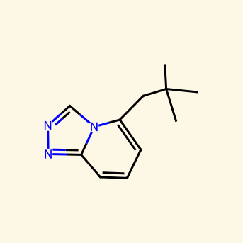 CC(C)(C)Cc1cccc2nncn12